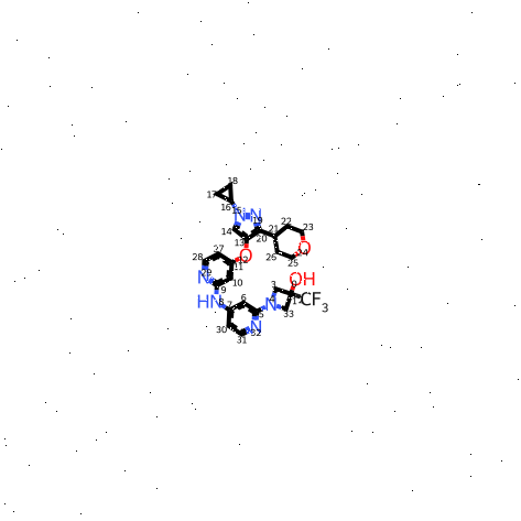 OC1(C(F)(F)F)CN(c2cc(Nc3cc(Oc4cn(C5CC5)nc4C4CCOCC4)ccn3)ccn2)C1